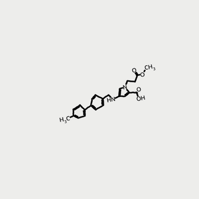 COC(=O)CCn1cc(NCc2ccc(-c3ccc(C)cc3)cc2)cc1C(=O)O